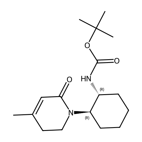 CC1=CC(=O)N([C@@H]2CCCC[C@H]2NC(=O)OC(C)(C)C)CC1